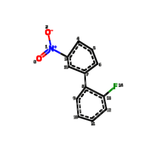 O=[N+]([O-])c1[c]ccc(-c2ccccc2F)c1